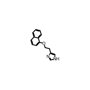 c1ccc2c(OCCc3c[nH]cn3)cccc2c1